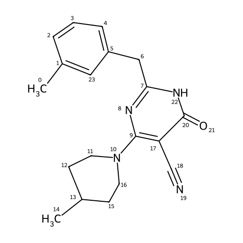 Cc1cccc(Cc2nc(N3CCC(C)CC3)c(C#N)c(=O)[nH]2)c1